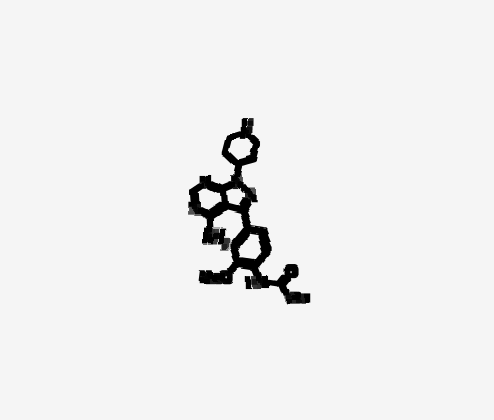 COc1cc(-c2nn(C3CCNCC3)c3ncnc(N)c23)ccc1NC(=O)C(C)(C)C